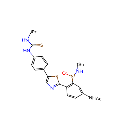 CC(=O)Nc1ccc(-c2ncc(-c3ccc(NC(=S)NC(C)C)cc3)s2)c([S+]([O-])NC(C)(C)C)c1